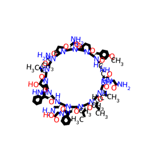 CCCC[C@H]1C(=O)N(C)[C@@H](CCCC)C(=O)N[C@@H](CC(C)C)C(=O)N[C@H](C(=O)NCC(N)=O)CNCC(=O)N[C@@H](Cc2ccc(OC)cc2)C(=O)N2CCCC[C@H]2C(=O)N[C@@H](CC(N)=O)C(=O)N2CCC[C@H]2C(=O)N[C@@H](CN)C(=O)N[C@@H](CC(C)C)C(=O)N2C[C@H](O)C[C@H]2C(=O)N[C@@H](Cc2c[nH]c3ccccc23)C(=O)N[C@@H](CCN)C(=O)N[C@@H](Cc2cn(CC(=O)O)c3ccccc23)C(=O)N1C